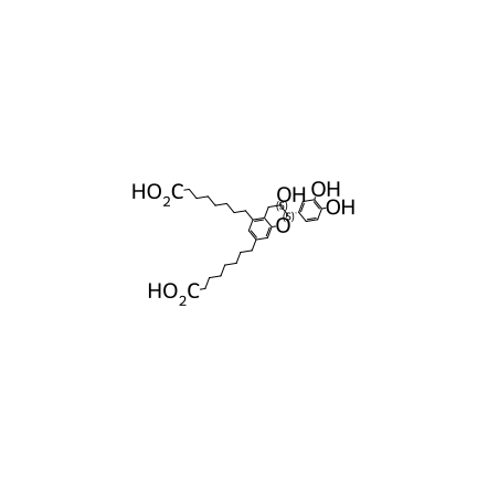 O=C(O)CCCCCCCc1cc(CCCCCCCC(=O)O)c2c(c1)O[C@@H](c1ccc(O)c(O)c1)[C@@H](O)C2